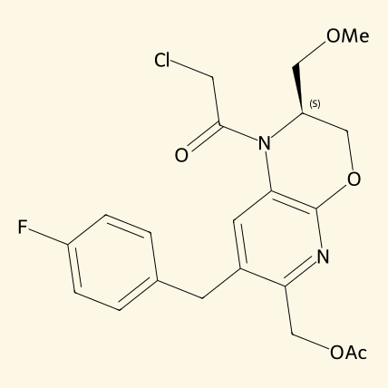 COC[C@H]1COc2nc(COC(C)=O)c(Cc3ccc(F)cc3)cc2N1C(=O)CCl